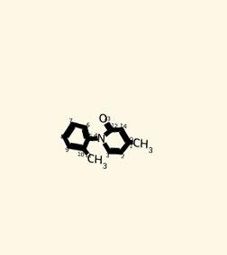 Cc1ccn(-c2ccccc2C)c(=O)c1